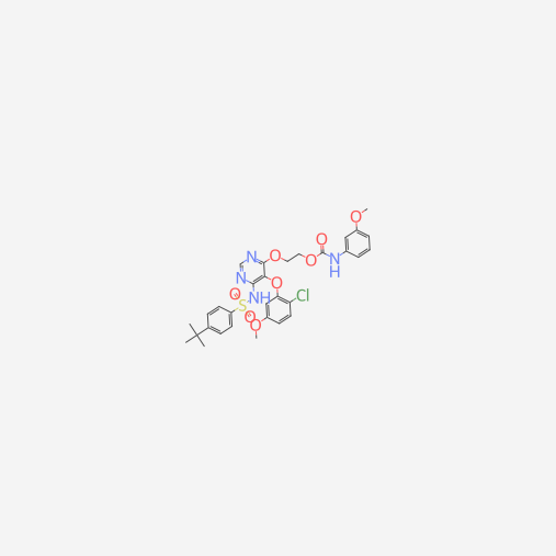 COc1cccc(NC(=O)OCCOc2ncnc(NS(=O)(=O)c3ccc(C(C)(C)C)cc3)c2Oc2cc(OC)ccc2Cl)c1